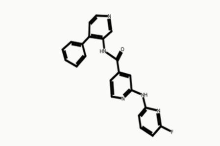 O=C(Nc1cnccc1-c1ccccc1)c1ccnc(Nc2cccc(F)n2)c1